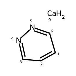 [CaH2].c1ccnnc1